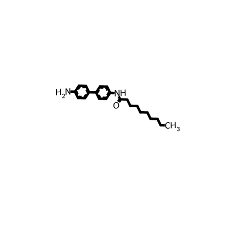 CCCCCCCCCC(=O)Nc1ccc(-c2ccc(N)cc2)cc1